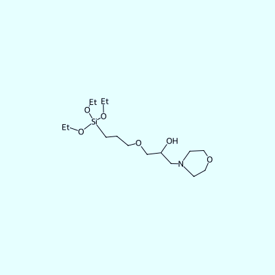 CCO[Si](CCCOCC(O)CN1CCOCC1)(OCC)OCC